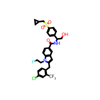 O=C(NC(CO)c1ccc(S(=O)(=O)CC2CC2)cc1)c1ccc2c(c1)cc(Cc1ccc(Cl)cc1C(F)(F)F)n2CCF